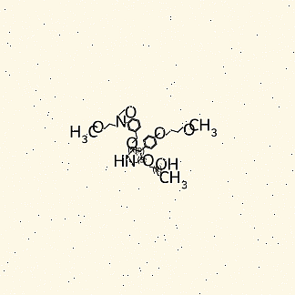 CC[C@@H](O)CO[C@@H]1CNC[C@H](OCc2ccc3c(c2)N(CCCOC)CCO3)[C@H]1c1ccc(OCCCCOC)cc1